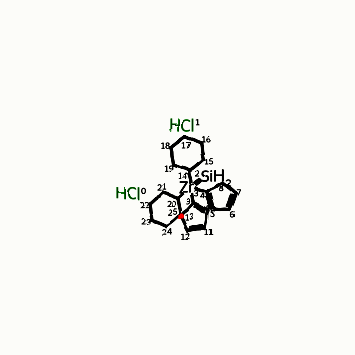 Cl.Cl.[SiH2]=[Zr]([C]1=CC=CC1)([C]1=CC=CC1)([CH]1CCCCC1)[CH]1CCCCC1